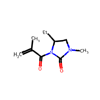 C=C(C)C(=O)N1C(=O)N(C)CC1CC